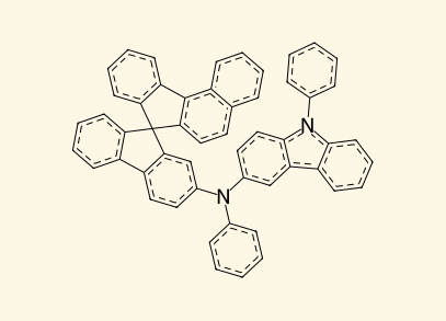 c1ccc(N(c2ccc3c(c2)C2(c4ccccc4-3)c3ccccc3-c3c2ccc2ccccc32)c2ccc3c(c2)c2ccccc2n3-c2ccccc2)cc1